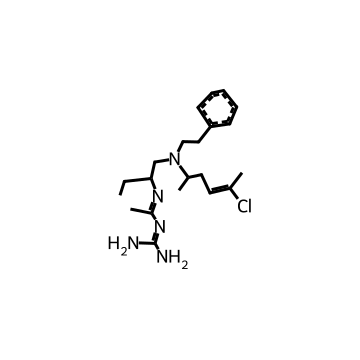 CCC(CN(CCc1ccccc1)C(C)C/C=C(\C)Cl)/N=C(\C)N=C(N)N